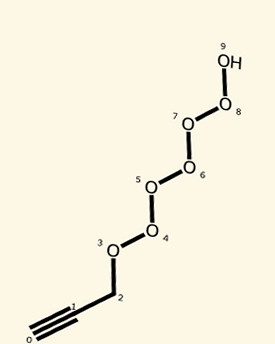 C#CCOOOOOOO